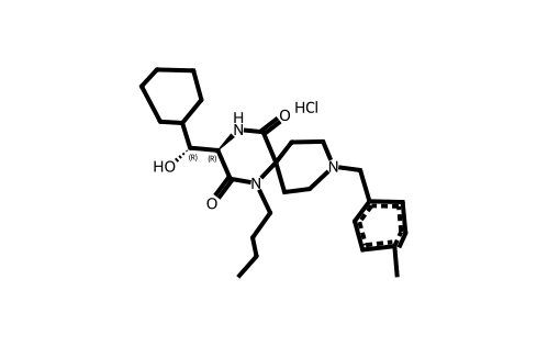 CCCCN1C(=O)[C@@H]([C@H](O)C2CCCCC2)NC(=O)C12CCN(Cc1ccc(C)cc1)CC2.Cl